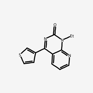 CCn1c(=O)nc(-c2ccsc2)c2cccnc21